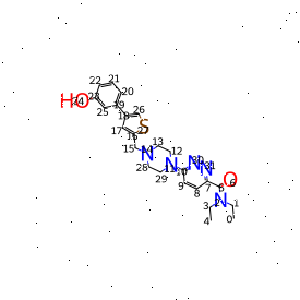 CCN(CC)C(=O)c1ccc(N2CCN(Cc3cc(-c4cccc(O)c4)cs3)CC2)nn1